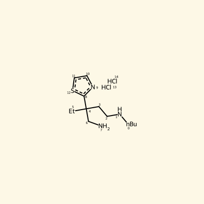 CCCCNCCC(CC)(CN)c1nccs1.Cl.Cl